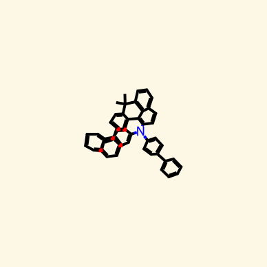 CC1(C)c2ccc(-c3ccccc3)cc2-c2c(N(c3ccc(-c4ccccc4)cc3)c3ccc(-c4ccccc4)cc3)ccc3cccc1c23